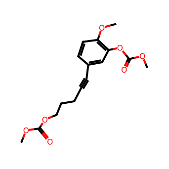 COC(=O)OCCCC#Cc1ccc(OC)c(OC(=O)OC)c1